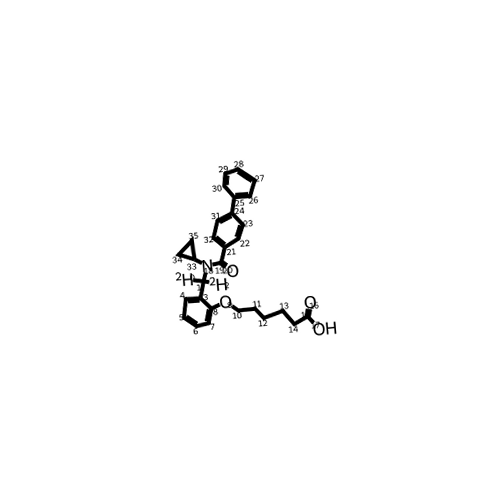 [2H]C([2H])(c1ccccc1OCCCCCC(=O)O)N(C(=O)c1ccc(-c2ccccc2)cc1)C1CC1